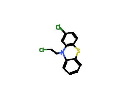 ClCCN1c2ccccc2Sc2ccc(Cl)cc21